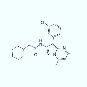 Cc1cc(C)n2nc(NC(=O)CC3CCCCC3)c(-c3cccc(Cl)c3)c2n1